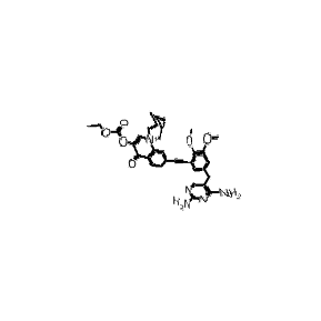 CCC[N+]1(CC2CC2)C=C(OC(=O)OCC)C(=O)c2ccc(C#Cc3cc(Cc4cnc(N)nc4N)cc(OC)c3OC)cc21